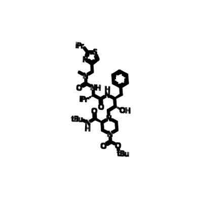 CC(C)c1nc(CN(C)C(=O)N[C@H](C(=O)N[C@@H](Cc2ccccc2)[C@H](O)CN2CCN(C(=O)OC(C)(C)C)C[C@H]2C(=O)NC(C)(C)C)C(C)C)cs1